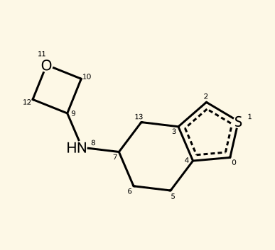 c1scc2c1CCC(NC1COC1)C2